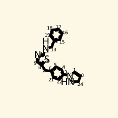 C1=CN(c2ccc(Cc3cnc(NCc4ccccc4)s3)cc2)NC1